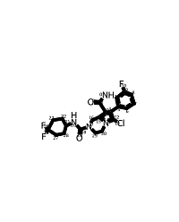 NC(=O)c1c(-c2cccc(F)c2)c(Cl)n2c1CN(C(=O)NC1CCC(F)(F)CC1)CC2